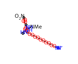 CNCCCC[C@H](NC(=O)[C@H](Cc1ccccc1)NC(=O)CCOCCOCCOCCOCCOCCOCCOCCOCCOCCOCCN=[N+]=[N-])C(=O)Nc1ccc(COC(=O)Oc2ccc([N+](=O)[O-])cc2)cc1